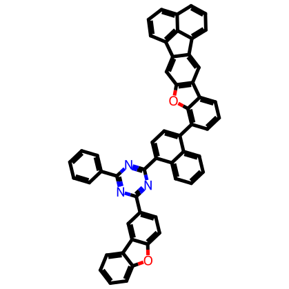 c1ccc(-c2nc(-c3ccc4oc5ccccc5c4c3)nc(-c3ccc(-c4cccc5c4oc4cc6c(cc45)-c4cccc5cccc-6c45)c4ccccc34)n2)cc1